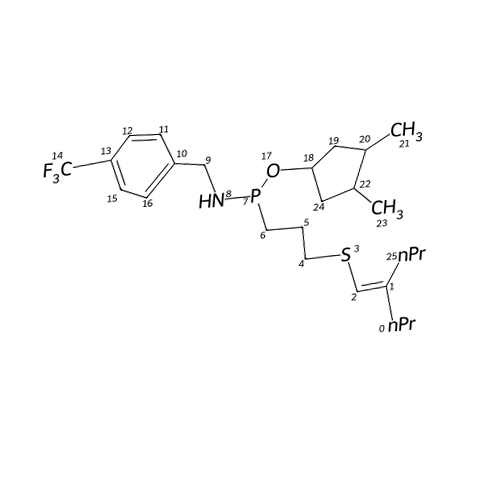 CCCC(=CSCCCP(NCc1ccc(C(F)(F)F)cc1)OC1CC(C)C(C)C1)CCC